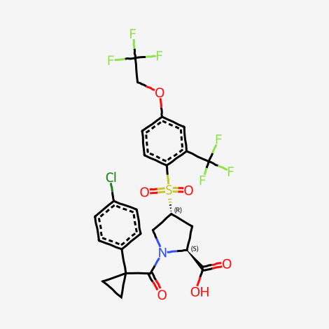 O=C(O)[C@@H]1C[C@@H](S(=O)(=O)c2ccc(OCC(F)(F)F)cc2C(F)(F)F)CN1C(=O)C1(c2ccc(Cl)cc2)CC1